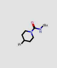 CC(C)C1CCN(C(=O)NC(C)(C)C)CC1